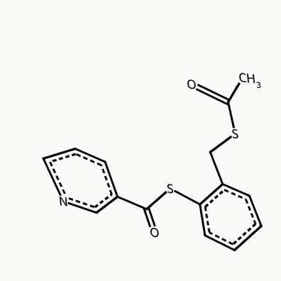 CC(=O)SCc1ccccc1SC(=O)c1cccnc1